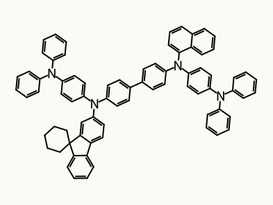 c1ccc(N(c2ccccc2)c2ccc(N(c3ccc(-c4ccc(N(c5ccc(N(c6ccccc6)c6ccccc6)cc5)c5cccc6ccccc56)cc4)cc3)c3ccc4c(c3)C3(CCCCC3)c3ccccc3-4)cc2)cc1